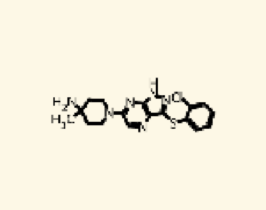 CC1(N)CCN(c2cnc3c(Sc4ccccc4Cl)n[nH]c3n2)CC1